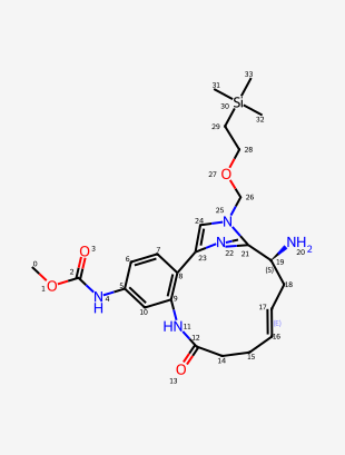 COC(=O)Nc1ccc2c(c1)NC(=O)CC/C=C/C[C@H](N)c1nc-2cn1COCC[Si](C)(C)C